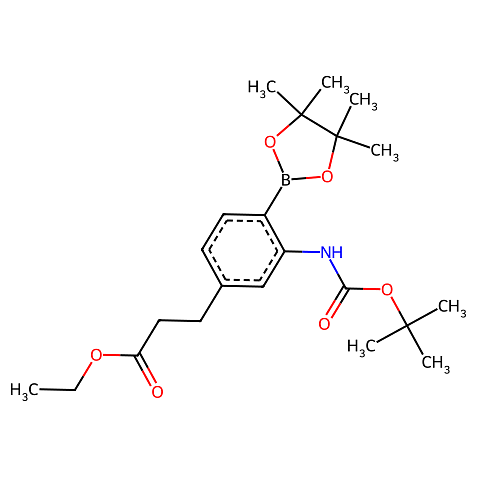 CCOC(=O)CCc1ccc(B2OC(C)(C)C(C)(C)O2)c(NC(=O)OC(C)(C)C)c1